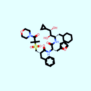 CC(C)(C(=O)N1CCOCC1)S(=O)(=O)C[C@@H](Cc1ccccc1)C(=O)N[C@@H](Cc1ccco1)C(=O)N[C@@H](CC1CCCCC1)[C@@H](O)[C@@H](O)C1CC1